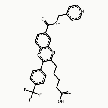 O=C(O)CCCCc1nc2cc(C(=O)NCc3ccncc3)ccc2nc1-c1ccc(C(F)(F)F)cc1